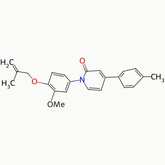 C=C(C)COc1ccc(-n2ccc(-c3ccc(C)cc3)cc2=O)cc1OC